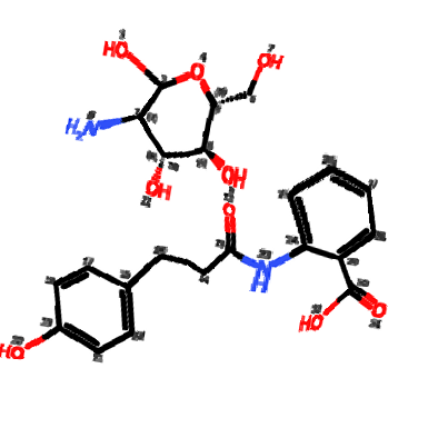 N[C@H]1C(O)O[C@H](CO)[C@@H](O)[C@@H]1O.O=C(CCc1ccc(O)cc1)Nc1ccccc1C(=O)O